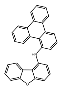 c1ccc2c(c1)oc1cccc(Nc3cccc4c5ccccc5c5ccccc5c34)c12